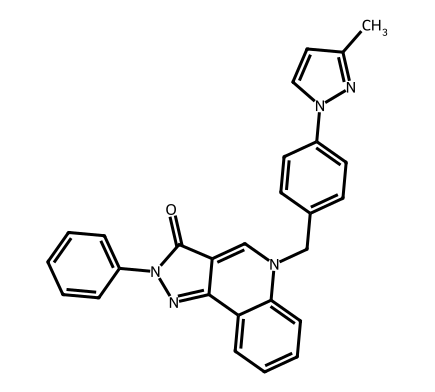 Cc1ccn(-c2ccc(Cn3cc4c(=O)n(-c5ccccc5)nc-4c4ccccc43)cc2)n1